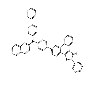 c1ccc(-c2ccc(N(c3ccc(-c4ccc5c6c(c7ccccc7c5c4)NC(c4ccccc4)S6)cc3)c3ccc4ccccc4c3)cc2)cc1